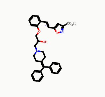 CCOC(=O)c1cc(/C=C/c2ccccc2OCC(O)CN2CCC(=C(c3ccccc3)c3ccccc3)CC2)on1